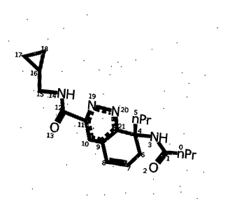 CCCC(=O)NC1(CCC)CC=Cc2cc(C(=O)NCC3CC3)nnc21